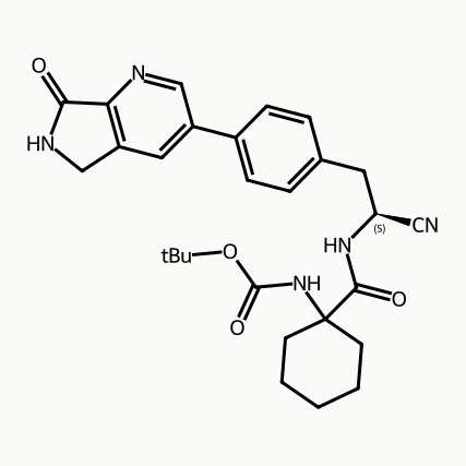 CC(C)(C)OC(=O)NC1(C(=O)N[C@H](C#N)Cc2ccc(-c3cnc4c(c3)CNC4=O)cc2)CCCCC1